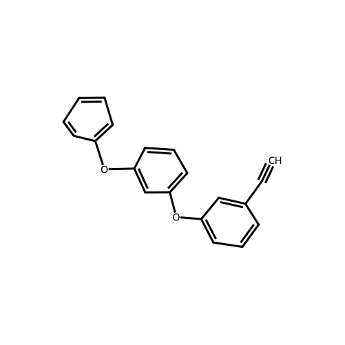 C#Cc1cccc(Oc2cccc(Oc3ccccc3)c2)c1